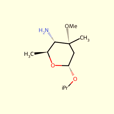 CO[C@]1(C)C[C@H](OC(C)C)O[C@@H](C)[C@@H]1N